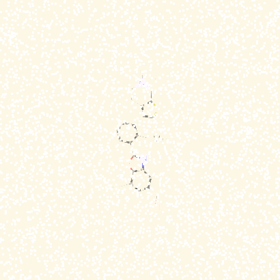 CSc1c(-c2nc3cc(CO)cc(Cl)c3o2)cccc1-c1csc2c1CCN(C(=O)O)C2